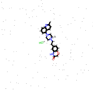 Cc1ccc2c(N3CCN(CCc4ccc5c(c4)NC(=O)CO5)[C@@H](C)C3)cccc2n1.Cl